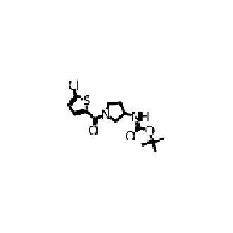 CC(C)(C)OC(=O)NC1CCN(C(=O)c2ccc(Cl)s2)C1